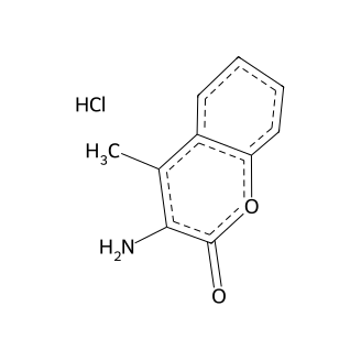 Cc1c(N)c(=O)oc2ccccc12.Cl